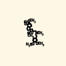 COC(=O)C1(CCCN(C)CCc2ccc(OC)c(OC)c2)CCc2c1ccc(OC)c2OC